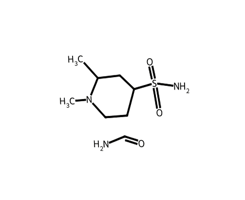 CC1CC(S(N)(=O)=O)CCN1C.NC=O